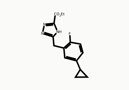 CCOC(=O)c1nnc(Cc2cc(C3CC3)ccc2F)[nH]1